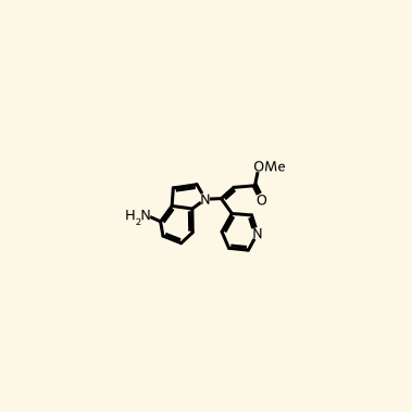 COC(=O)C=C(c1cccnc1)n1ccc2c(N)cccc21